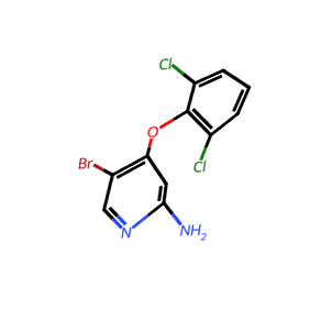 Nc1cc(Oc2c(Cl)cccc2Cl)c(Br)cn1